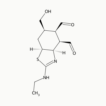 CCNC1=N[C@@H]2[C@H](C=O)[C@H](C=O)[C@H](CO)C[C@@H]2S1